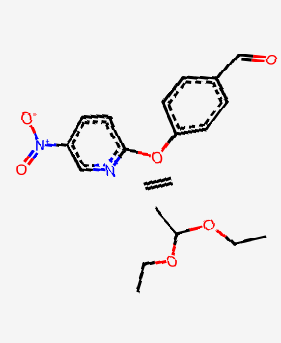 C=C.CCOC(C)OCC.O=Cc1ccc(Oc2ccc([N+](=O)[O-])cn2)cc1